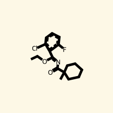 CCOC(=NC(=O)C1(C)CCCCC1)c1c(F)cccc1Cl